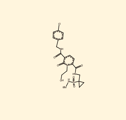 CC(C)(C)NS(=O)(=O)C1(CNC(=O)c2ccc(C(=O)NCc3ccc(Cl)cc3)c(=O)n2CCO)CC1